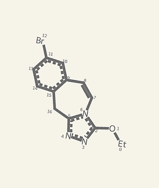 CCOc1nnc2n1C=Cc1cc(Br)ccc1C2